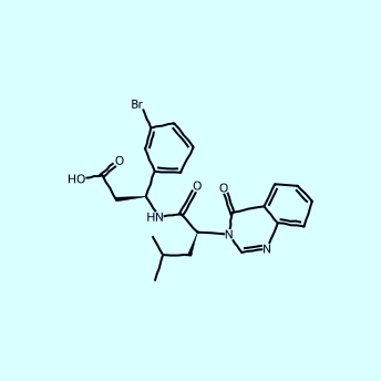 CC(C)C[C@@H](C(=O)N[C@@H](CC(=O)O)c1cccc(Br)c1)n1cnc2ccccc2c1=O